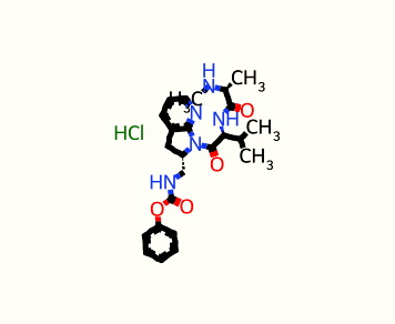 CN[C@@H](C)C(=O)N[C@H](C(=O)N1c2ncccc2C[C@H]1CNC(=O)Oc1ccccc1)C(C)C.Cl